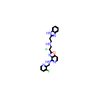 Fc1cccnc1CNc1nccc2oc([C@H](F)CNCCc3nc4ccccc4[nH]3)nc12